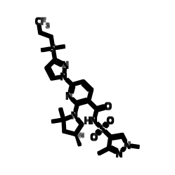 Cc1nn(C)cc1S(=O)(=O)NC(=O)c1ccc(-n2ccc(S(C)(C)CCC(F)(F)F)n2)nc1N1C[C@@H](C)CC1(C)C